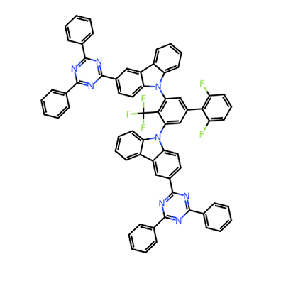 Fc1cccc(F)c1-c1cc(-n2c3ccccc3c3cc(-c4nc(-c5ccccc5)nc(-c5ccccc5)n4)ccc32)c(C(F)(F)F)c(-n2c3ccccc3c3cc(-c4nc(-c5ccccc5)nc(-c5ccccc5)n4)ccc32)c1